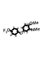 CNc1cc(Oc2ccc(C(F)(F)F)cc2)ccc1OC